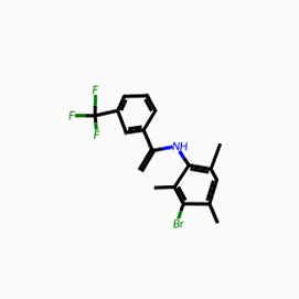 C=C(Nc1c(C)cc(C)c(Br)c1C)c1cccc(C(F)(F)F)c1